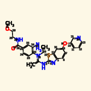 C=C(Nc1nc2ccc(Oc3cccnc3)cc2s1)N(CC)c1ccc(C(=O)NCCOC)cc1N